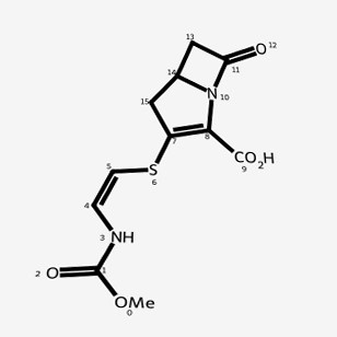 COC(=O)N/C=C\SC1=C(C(=O)O)N2C(=O)CC2C1